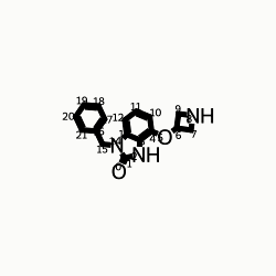 O=c1[nH]c2c(OC3CNC3)cccc2n1Cc1ccccc1